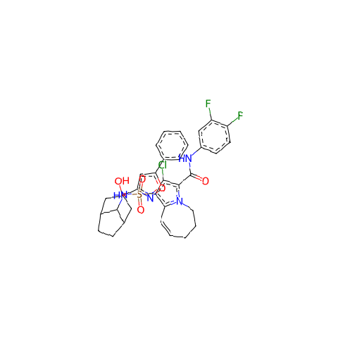 O=C(Nc1ccc(F)c(F)c1)c1c(Cl)c(S(=O)(=O)NC2C3CCC2CC(O)(c2cc(-c4ccccc4)on2)C3)c2n1CCCC=C2